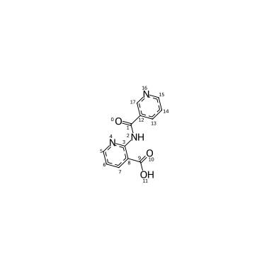 O=C(Nc1ncccc1C(=O)O)c1cccnc1